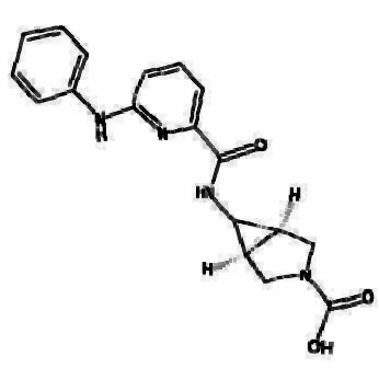 O=C(NC1[C@H]2CN(C(=O)O)C[C@@H]12)c1cccc(Nc2ccccc2)n1